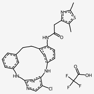 Cc1nc(CC(=O)Nc2ccc3cc2CCc2cccc(c2)Nc2ncc(Cl)c(n2)N3)c(C)s1.O=C(O)C(F)(F)F